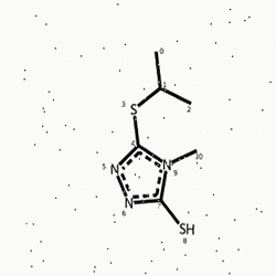 CC(C)Sc1nnc(S)n1C